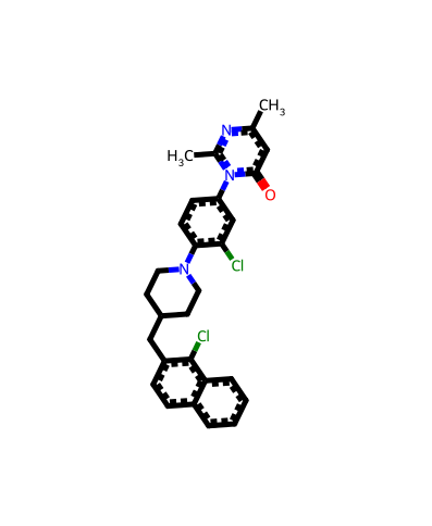 Cc1cc(=O)n(-c2ccc(N3CCC(Cc4ccc5ccccc5c4Cl)CC3)c(Cl)c2)c(C)n1